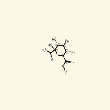 [2H]OC(=O)[C@H]1O[C@](O)(C(C)C)[C@H](O)[C@@H](O)[C@@H]1O